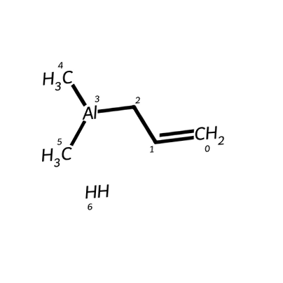 C=C[CH2][Al]([CH3])[CH3].[HH]